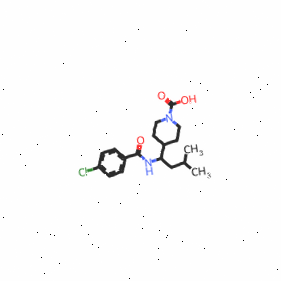 CC(C)CC(NC(=O)c1ccc(Cl)cc1)C1CCN(C(=O)O)CC1